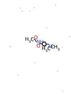 CC(=O)CNC(=O)c1ccc(CN(C)C)cc1